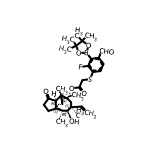 C=C[C@]1(C)C[C@@H](OC(=O)CSc2ccc(C=O)c(B3OC(C)(C)C(C)(C)O3)c2F)[C@]2(C)[C@H](C)CC[C@]3(CCC(=O)[C@H]32)[C@@H](C)[C@@H]1O